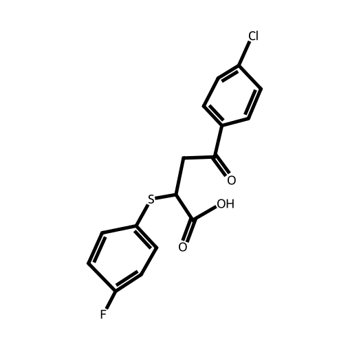 O=C(CC(Sc1ccc(F)cc1)C(=O)O)c1ccc(Cl)cc1